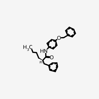 CCCC[C@H](Cc1ccccc1)C(=O)Nc1ccc(OCc2ccccc2)cc1